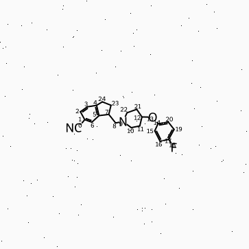 N#Cc1ccc2c(c1)C(CN1CCC(Oc3ccc(F)cc3)CC1)CC2